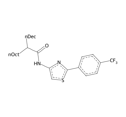 CCCCCCCCCCC(CCCCCCCC)C(=O)Nc1csc(-c2ccc(C(F)(F)F)cc2)n1